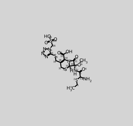 CCSC(N)C(=O)N[C@]1(OC)C(=O)N2C(C(=O)O)=C(CSc3nnnn3CS(=O)(=O)O)CS[C@H]21